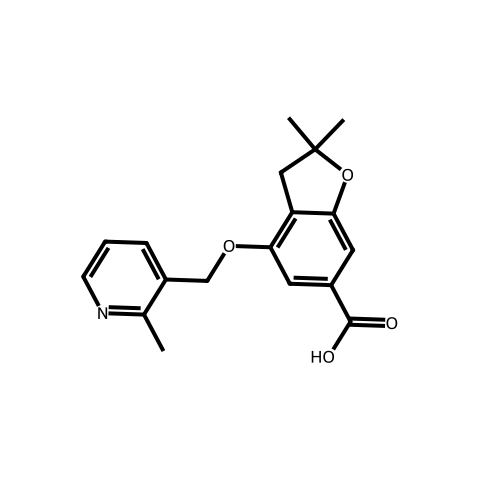 Cc1ncccc1COc1cc(C(=O)O)cc2c1CC(C)(C)O2